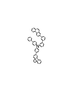 c1ccc(-c2ccc(N(c3ccc(-c4ccc5oc6ccccc6c5c4)cc3)c3cccc(-c4cccc(-c5ccc6c(ccc7ccccc76)c5)c4)c3)cc2)cc1